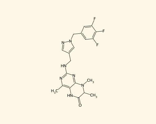 Cc1nc(NCc2cnn(Cc3cc(F)c(F)c(F)c3)c2)nc2c1NC(=O)C(C)N2C